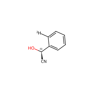 [2H]c1ccccc1[C@H](O)C#N